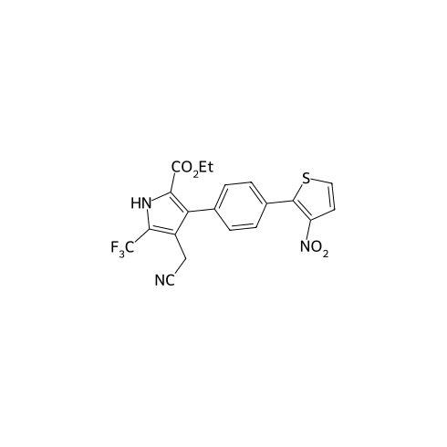 CCOC(=O)c1[nH]c(C(F)(F)F)c(CC#N)c1-c1ccc(-c2sccc2[N+](=O)[O-])cc1